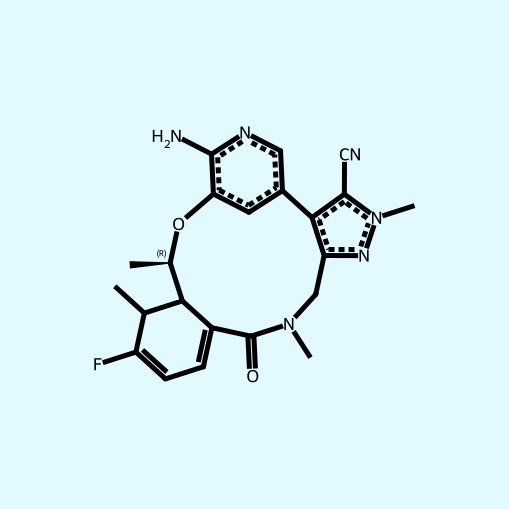 CC1C(F)=CC=C2C(=O)N(C)Cc3nn(C)c(C#N)c3-c3cnc(N)c(c3)O[C@H](C)C21